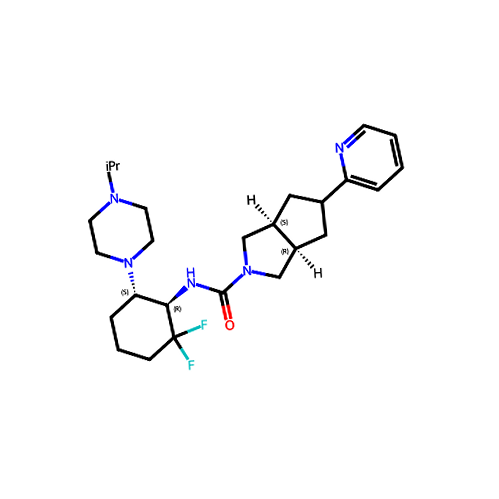 CC(C)N1CCN([C@H]2CCCC(F)(F)[C@@H]2NC(=O)N2C[C@H]3CC(c4ccccn4)C[C@H]3C2)CC1